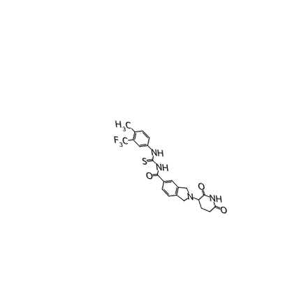 Cc1ccc(NC(=S)NC(=O)c2ccc3c(c2)CN(C2CCC(=O)NC2=O)C3)cc1C(F)(F)F